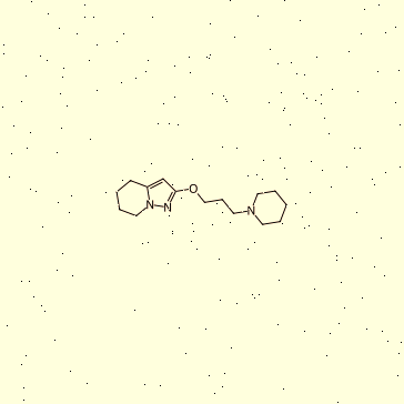 c1c(OCCCN2CCCCC2)nn2c1CCCC2